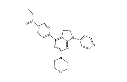 COC(=O)c1ccc(-c2nc(N3CCOCC3)nc3c2CCN3c2ccncc2)cc1